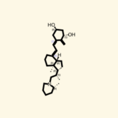 C=C1/C(=C\C=C2/CCC[C@]3(C)[C@@H]([C@H](C)CN4CCCC[C@H]4C)CC[C@@H]23)C[C@@H](O)C[C@@H]1O